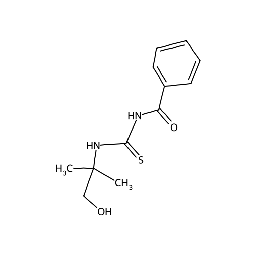 CC(C)(CO)NC(=S)NC(=O)c1ccccc1